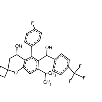 CC(C)c1cc2c(c(-c3ccc(F)cc3)c1C(O)c1ccc(C(F)(F)F)cc1)[C@@H](O)CC1(CCC1)O2